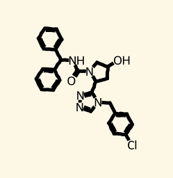 O=C(NC(c1ccccc1)c1ccccc1)N1CC(O)CC1c1nncn1Cc1ccc(Cl)cc1